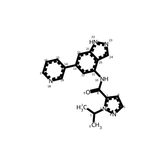 CC(C)n1nccc1C(=O)Nc1cc(-c2cccnc2)cc2[nH]ncc12